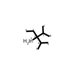 CC[C]([InH2])(C(C)C)C(C)C